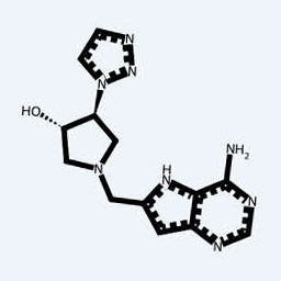 Nc1ncnc2cc(CN3C[C@H](O)[C@@H](n4ccnn4)C3)[nH]c12